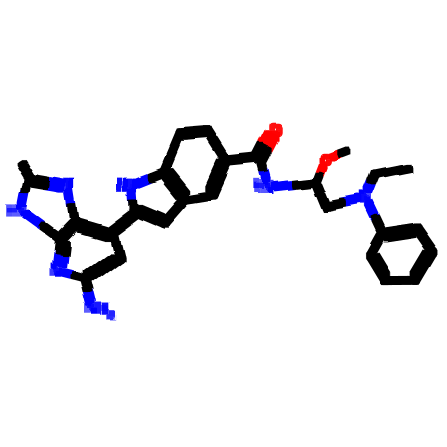 CCN(CC(NC(=O)c1ccc2[nH]c(-c3cc(N)nc4[nH]c(C)nc34)cc2c1)OC)c1ccccc1